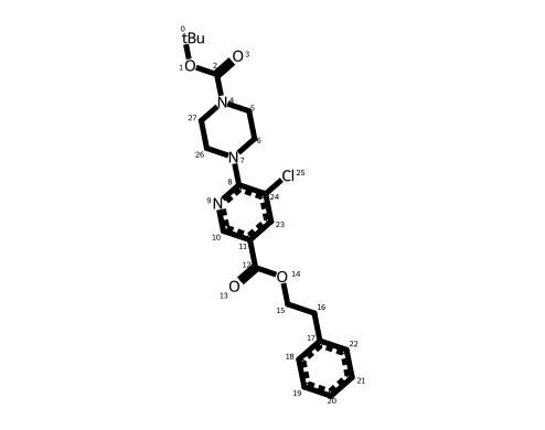 CC(C)(C)OC(=O)N1CCN(c2ncc(C(=O)OCCc3ccccc3)cc2Cl)CC1